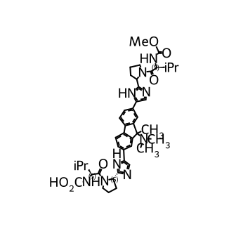 COC(=O)N[C@H](C(=O)N1CCCC1c1ncc(-c2ccc3c(c2)C(C)(N(C)C)c2cc(-c4cnc([C@@H]5CCCN5C(=O)[C@@H](NC(=O)O)C(C)C)[nH]4)ccc2-3)[nH]1)C(C)C